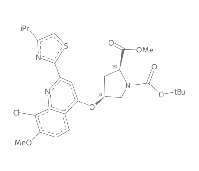 COC(=O)[C@@H]1C[C@H](Oc2cc(-c3nc(C(C)C)cs3)nc3c(Cl)c(OC)ccc23)CN1C(=O)OC(C)(C)C